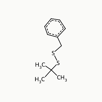 CC(C)(C)SSCc1ccccc1